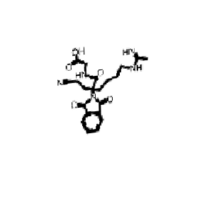 CC(=N)NCCCCC(CCC#N)(C(=O)NCC(=O)O)N1C(=O)c2ccccc2C1=O